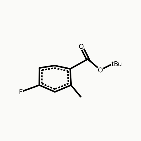 Cc1cc(F)ccc1C(=O)OC(C)(C)C